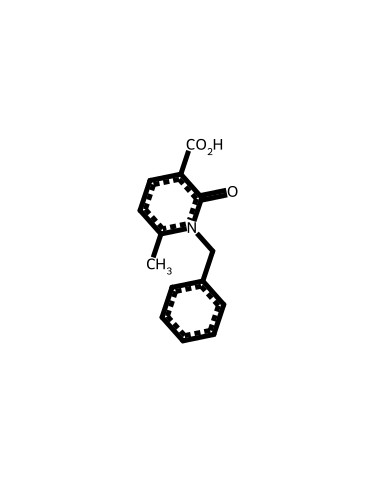 Cc1ccc(C(=O)O)c(=O)n1Cc1ccccc1